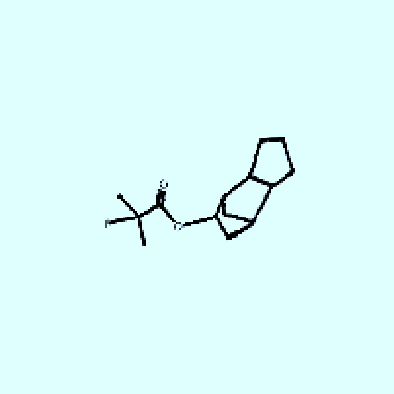 CC(C)(I)C(=O)OC1CC2CC1C1CCCC21